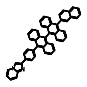 c1ccc2cc(-c3c4ccccc4c(-c4c5ccccc5c(-c5ccc(-c6cn7ccccc7n6)cc5)c5ccccc45)c4ccccc34)ccc2c1